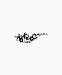 COCCN1CCc2cc(Nc3ncc(Cl)c(NC4C5C=CC(C5)C4C(=O)N(C)C)n3)c(OC)cc2CC1